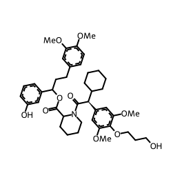 COc1ccc(CCC(OC(=O)C2CCCCN2C(=O)[C@H](c2cc(OC)c(OCCCO)c(OC)c2)C2CCCCC2)c2cccc(O)c2)cc1OC